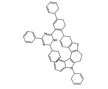 C1=CCC(C2=CC(C3=NC(c4ccccc4)=NC(C4C=CC=CC4)N3)=C(C3C=Cc4c(sc5c4-c4c(n(C6C=CC=CC6)c6ccccc46)CC5)C3)CC2)C=C1